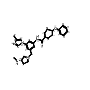 CN[C@H]1CCN(Cc2cc(NC(=O)C3CCC(Oc4ccccc4)CC3)cc(-n3cnc(C)c3)c2)C1